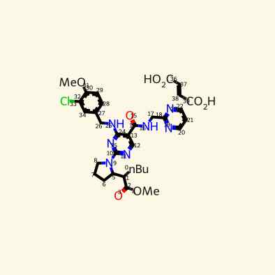 CCCCC(C(=O)OC)C1CCCN1c1ncc(C(=O)NCc2ncccn2)c(NCc2ccc(OC)c(Cl)c2)n1.O=C(O)/C=C/C(=O)O